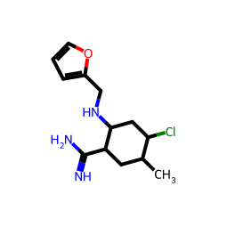 CC1CC(C(=N)N)C(NCc2ccco2)CC1Cl